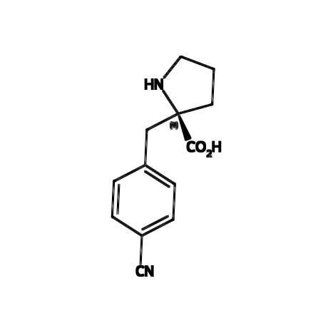 N#Cc1ccc(C[C@@]2(C(=O)O)CCCN2)cc1